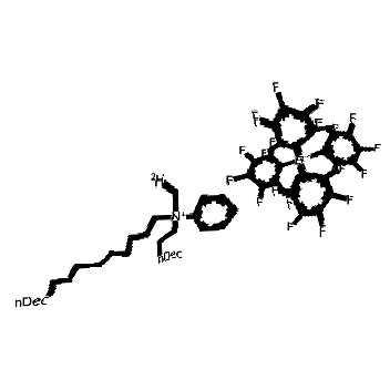 Fc1c(F)c(F)c([B-](c2c(F)c(F)c(F)c(F)c2F)(c2c(F)c(F)c(F)c(F)c2F)c2c(F)c(F)c(F)c(F)c2F)c(F)c1F.[2H]C[N+](CCCCCCCCCCCC)(CCCCCCCCCCCCCCCCCCC)c1ccccc1